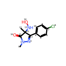 CN1N=C(c2ccc(Cl)cc2)C(C)(NO)C1=O